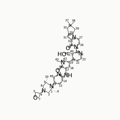 C[C@@H]1CN(C2COC2)C[C@H](C)N1c1ccc(Nc2cc(-c3ccnc(-n4ccn5c6c(cc5c4=O)CC(C)(C)C6)c3CO)cn(C)c2=O)nc1